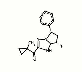 CC1(C(=O)C2=NN3C(N2)[C@@H](F)C[C@H]3c2ccccc2)CC1